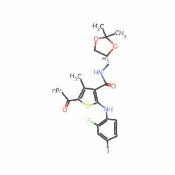 CCCC(=O)c1sc(Nc2ccc(I)cc2F)c(C(=O)NC[C@@H]2COC(C)(C)O2)c1C